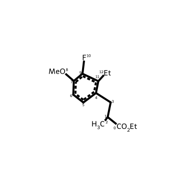 CCOC(=O)C(C)Cc1ccc(OC)c(F)c1CC